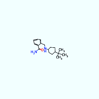 CC(C)(C)C1CCC(NCc2ccccc2C(N)=O)CC1